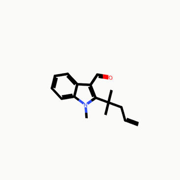 C=CCC(C)(C)c1c(C=O)c2ccccc2n1C